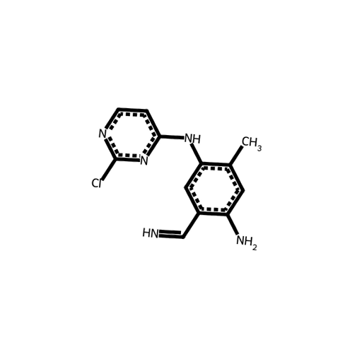 Cc1cc(N)c(C=N)cc1Nc1ccnc(Cl)n1